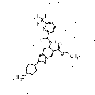 CCOC(=O)C1=Cn2nc(C3CCN(C)CC3)cc2CC1NC(=O)c1cccc(C(F)(F)F)n1